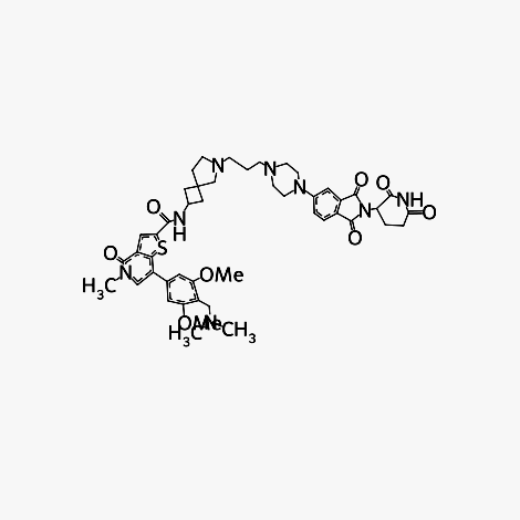 COc1cc(-c2cn(C)c(=O)c3cc(C(=O)NC4CC5(CCN(CCCN6CCN(c7ccc8c(c7)C(=O)N(C7CCC(=O)NC7=O)C8=O)CC6)C5)C4)sc23)cc(OC)c1CN(C)C